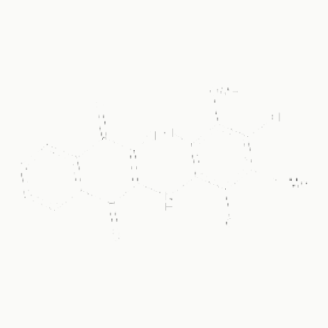 COc1c(Cl)c(NC2=C(Cl)C(=O)c3ccccc3C2=O)c(Cl)c(OC)c1Cl